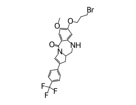 COc1cc2c(cc1OCCCBr)NCC1CC(c3ccc(C(F)(F)F)cc3)=CN1C2=O